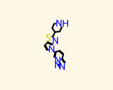 c1cc2cnnn2cc1-n1ccc2sc(C3CCNCC3)nc21